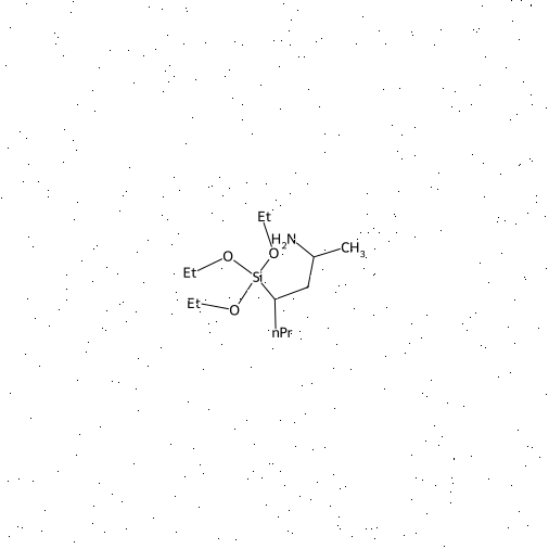 CCCC(CC(C)N)[Si](OCC)(OCC)OCC